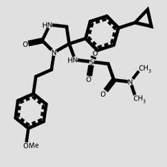 COc1ccc(CCN2C(=O)NCC2(NS(=O)(=O)CC(=O)N(C)C)c2ccc(C3CC3)cc2)cc1